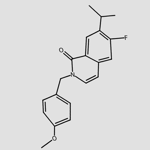 COc1ccc(Cn2ccc3cc(F)c(C(C)C)cc3c2=O)cc1